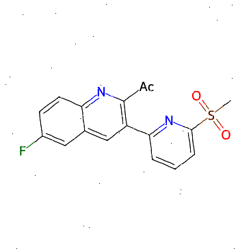 CC(=O)c1nc2ccc(F)cc2cc1-c1cccc(S(C)(=O)=O)n1